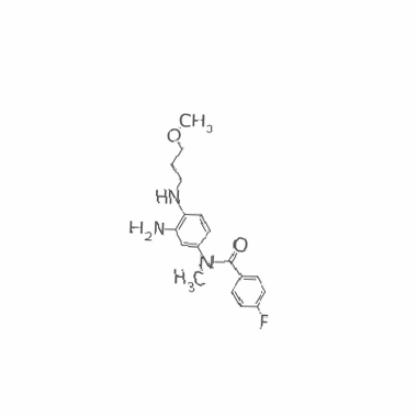 COCCCNc1ccc(N(C)C(=O)c2ccc(F)cc2)cc1N